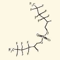 O=S(=O)(OCC(I)C(F)(F)C(F)(F)C(F)(F)C(F)(F)F)OCC(I)C(F)(F)C(F)(F)C(F)(F)C(F)(F)F